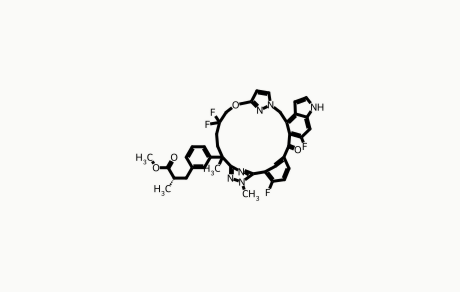 COC(=O)[C@@H](C)Cc1cccc(C2(C)CCC(F)(F)COc3ccn(n3)Cc3c(c(F)cc4[nH]ccc34)C(=O)c3ccc(F)c(c3)-c3nc2nn3C)c1